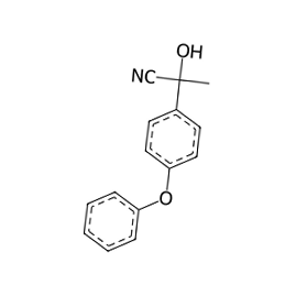 CC(O)(C#N)c1ccc(Oc2ccccc2)cc1